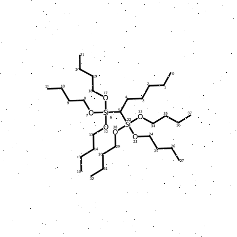 CCCCCC([Si](OCCCC)(OCCCC)OCCCC)[Si](OCCCC)(OCCCC)OCCCC